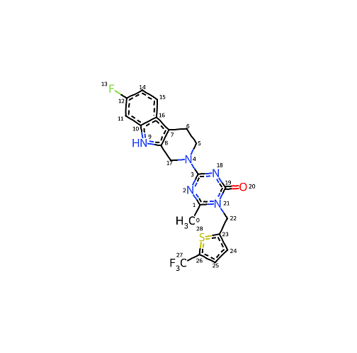 Cc1nc(N2CCc3c([nH]c4cc(F)ccc34)C2)nc(=O)n1Cc1ccc(C(F)(F)F)s1